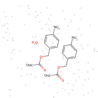 O.O=CC(=O)OCc1ccc([N+](=O)[O-])cc1.O=CC(=O)OCc1ccc([N+](=O)[O-])cc1